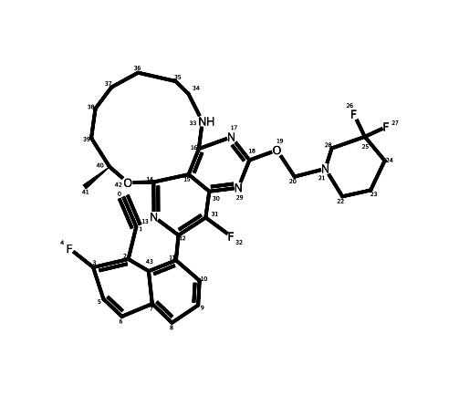 C#Cc1c(F)ccc2cccc(-c3nc4c5c(nc(OCN6CCCC(F)(F)C6)nc5c3F)NCCCCCC[C@H](C)O4)c12